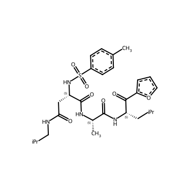 Cc1ccc(S(=O)(=O)N[C@@H](CC(=O)NCC(C)C)C(=O)N[C@@H](C)C(=O)N[C@@H](CC(C)C)C(=O)c2ccco2)cc1